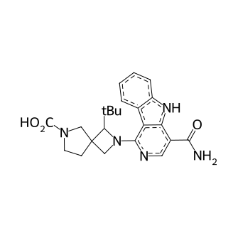 CC(C)(C)C1N(c2ncc(C(N)=O)c3[nH]c4ccccc4c23)CC12CCN(C(=O)O)C2